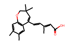 CC(/C=C/C1=CC(C)(C)COc2cc(C)c(C)cc21)=C\C(=O)O